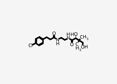 CC(C)(CO)[C@@H](O)C(=O)NCCNC(=O)CCc1ccc(Cl)cc1